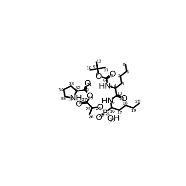 CCCCC(NC(=O)OC(C)(C)C)C(=O)NC(CCCC)P(=O)(O)OC(C)C(=O)OC(=O)[C@@H]1CCCN1